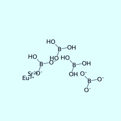 OB(O)O.OB(O)O.[Eu+3].[O-]B([O-])O.[O-]B([O-])[O-].[Sr+2]